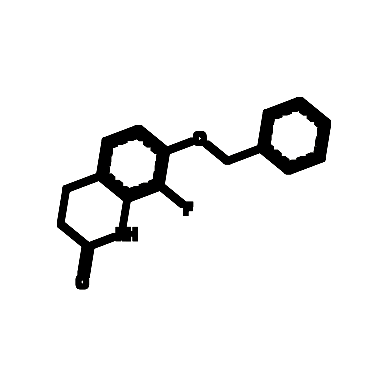 O=C1CCc2ccc(OCc3ccccc3)c(F)c2N1